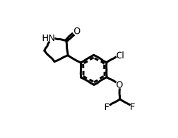 O=C1NCCC1c1ccc(OC(F)F)c(Cl)c1